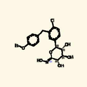 CCOc1ccc(Cc2cc([C@@H]3O/C(=N\O)[C@@H](O)[C@H](O)[C@H]3O)ccc2Cl)cc1